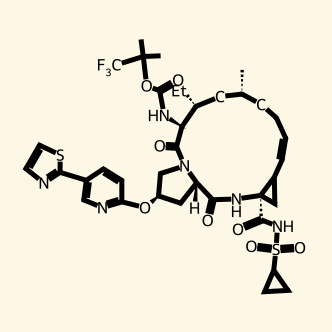 CC[C@@H]1C[C@H](C)CC/C=C\C2C[C@@]2(C(=O)NS(=O)(=O)C2CC2)NC(=O)[C@@H]2C[C@@H](Oc3ccc(-c4nccs4)cn3)CN2C(=O)[C@H]1NC(=O)OC(C)(C)C(F)(F)F